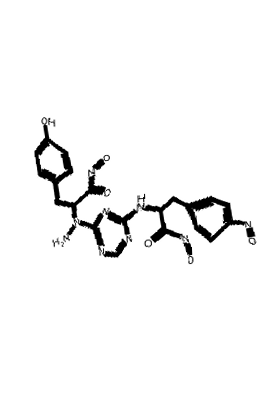 NN(c1ncnc(NC(Cc2ccc(N=O)cc2)C(=O)N=O)n1)C(Cc1ccc(O)cc1)C(=O)N=O